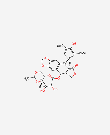 COc1cc([C@@H]2c3cc4c(cc3C(O[C@@H]3OC5COC(C)O[C@H]5[C@H](O)C3O)C3COC(=O)[C@@H]32)OCO4)cc(OC)c1O